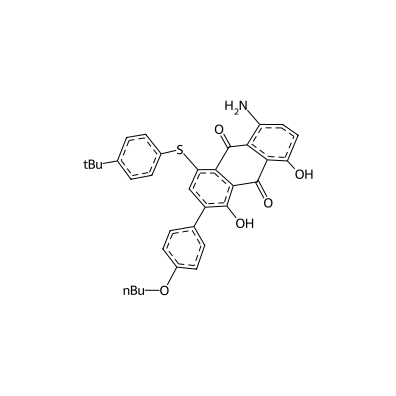 CCCCOc1ccc(-c2cc(Sc3ccc(C(C)(C)C)cc3)c3c(c2O)C(=O)c2c(O)ccc(N)c2C3=O)cc1